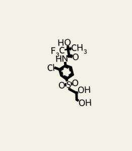 C[C@@](O)(C(=O)Nc1ccc(S(=O)(=O)CC(O)CO)cc1Cl)C(F)(F)F